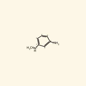 CNc1cccc(N)c1